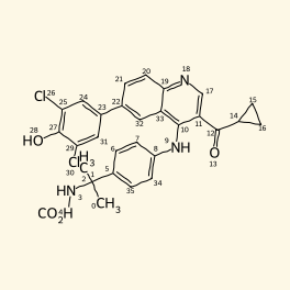 CC(C)(NC(=O)O)c1ccc(Nc2c(C(=O)C3CC3)cnc3ccc(-c4cc(Cl)c(O)c(Cl)c4)cc23)cc1